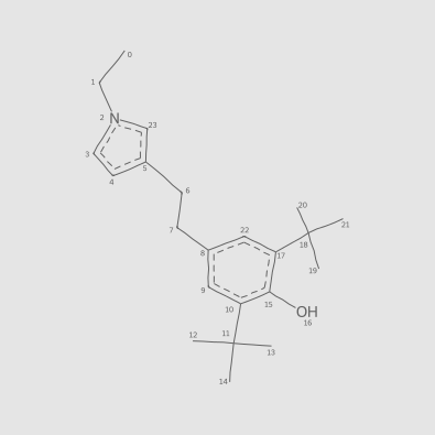 CCn1ccc(CCc2cc(C(C)(C)C)c(O)c(C(C)(C)C)c2)c1